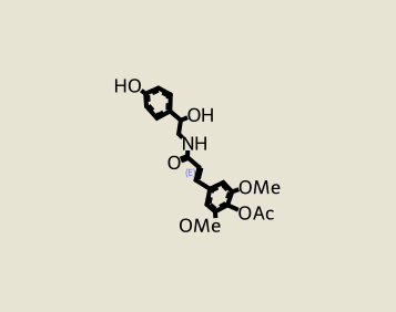 COc1cc(/C=C/C(=O)NCC(O)c2ccc(O)cc2)cc(OC)c1OC(C)=O